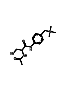 CC(=O)NC(CS)C(=O)Nc1ccc(C[Si](C)(C)C)cc1